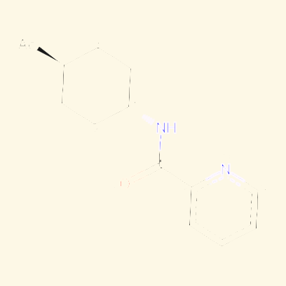 CC(=O)[C@H]1CC[C@H](NC(=O)c2ccccn2)CC1